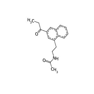 CCC(=O)c1cc(CCNC(C)=O)c2ccccc2c1